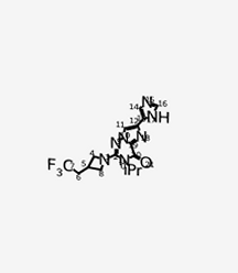 CC(C)n1c(N2CC(CC(F)(F)F)C2)nn2cc(-c3cnc[nH]3)nc2c1=O